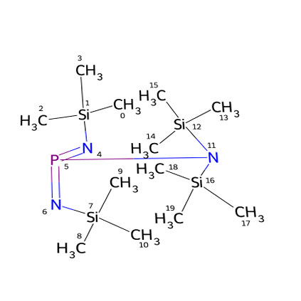 C[Si](C)(C)/N=P(=N\[Si](C)(C)C)/N([Si](C)(C)C)[Si](C)(C)C